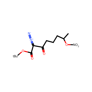 CC(CCCC(=O)C(=[N+]=[N-])C(=O)OC(C)(C)C)O[N+](=O)[O-]